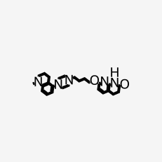 CN1CCCc2c1cccc2N1CCN(CCCCOc2ccc3c(n2)NC(=O)CC3)CC1